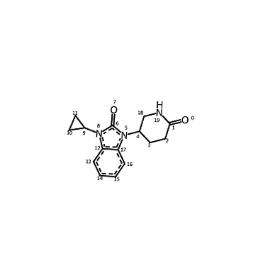 O=C1CCC(n2c(=O)n(C3CC3)c3ccccc32)CN1